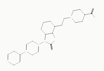 O=C(O)C1CCN(CCC2CCCC3C2OC(=O)N3N2CCN(C3CCNCC3)CC2)CC1